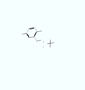 C[C@@H](N[S+]([O-])C(C)(C)C)c1cc(F)ccc1F